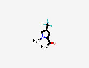 CC(=O)C1CC(C(F)(F)F)CN1C